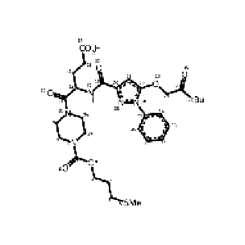 CSCCCOC(=O)N1CCN(C(=O)C(CCC(=O)O)NC(=O)c2cc(OCC(=O)C(C)(C)C)n(-c3ccccc3)n2)CC1